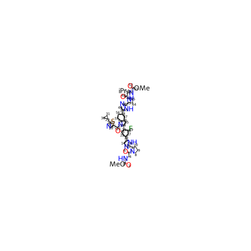 COC(=O)NCC(=O)N1CCCC1c1ncc(-c2cc(F)c3c(c2)OC(c2cnc(C4CC4)s2)n2c-3cc3cc(-c4cnc(C5CCN5C(=O)C(NC(=O)OC)C(C)C)[nH]4)ccc32)[nH]1